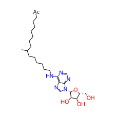 CC(=O)CCCCCCCC(C)CCCCCCNc1ncnc2c1ncn2[C@@H]1O[C@H](CO)[C@@H](O)[C@H]1O